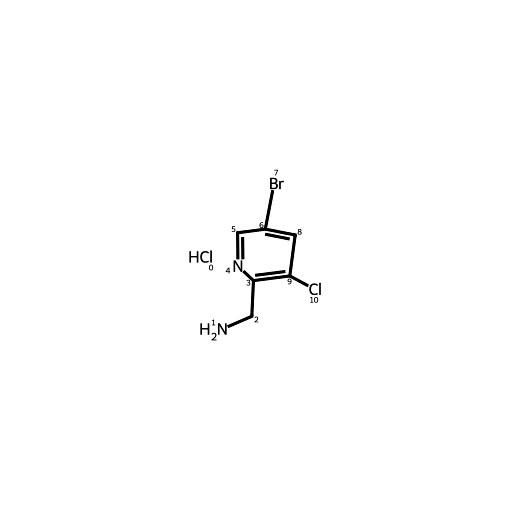 Cl.NCc1ncc(Br)cc1Cl